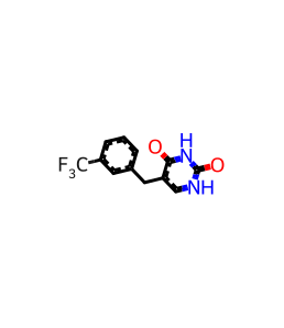 O=c1[nH]cc(Cc2cccc(C(F)(F)F)c2)c(=O)[nH]1